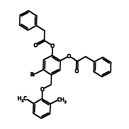 Cc1cccc(C)c1OCc1cc(OC(=O)Cc2ccccc2)c(OC(=O)Cc2ccccc2)cc1Br